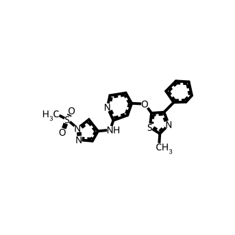 Cc1nc(-c2ccccc2)c(Oc2ccnc(Nc3cnn(S(C)(=O)=O)c3)c2)s1